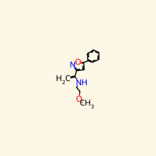 C=C(NCCOC)c1cc(-c2ccccc2)on1